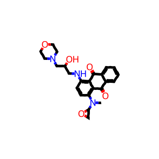 CN(c1ccc(NCC(O)CN2CCOCC2)c2c1C(=O)c1ccccc1C2=O)C1CO1